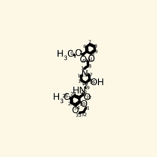 CCOC(=O)c1ccccc1OCCCN1CC[C@@H](CNC(=O)c2cc(C)cc3c2OCCCO3)C(O)C1